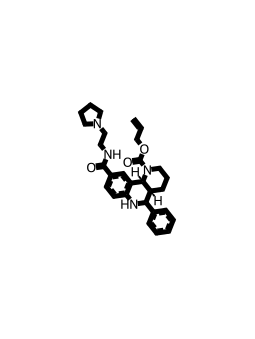 C=CCOC(=O)N1CCC[C@H]2C(c3ccccc3)Nc3ccc(C(=O)NCCN4CCCC4)cc3[C@H]21